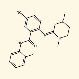 CN1CCN(C)C(=Nc2ccc(C#N)cc2C(=O)Nc2ccccc2F)C1